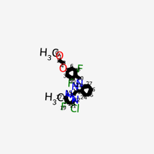 COCCOc1cc(F)c(Cn2nc(-c3nc(C)c(F)c(Cl)n3)c3ccccc32)c(F)c1